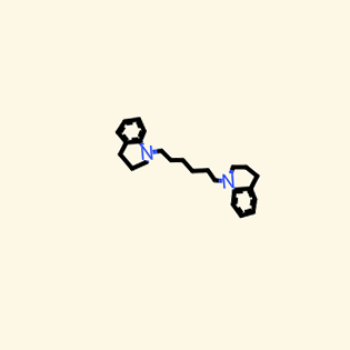 c1ccc2c(c1)CCCN2CCCCCCN1CCCc2ccccc21